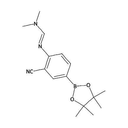 CN(C)C=Nc1ccc(B2OC(C)(C)C(C)(C)O2)cc1C#N